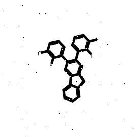 Fc1cccc(-c2[c]c3c(cc2-c2cccc(F)c2F)-c2ccccc2C3)c1F